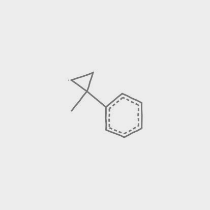 CC1(c2ccccc2)[CH]C1